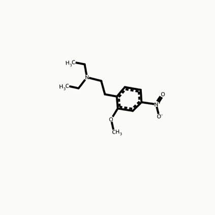 CCN(CC)CCc1ccc([N+](=O)[O-])cc1OC